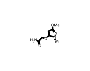 COc1cc(OCC(N)=O)n(C(C)C)n1